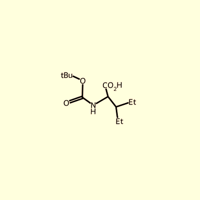 CCC(CC)C(NC(=O)OC(C)(C)C)C(=O)O